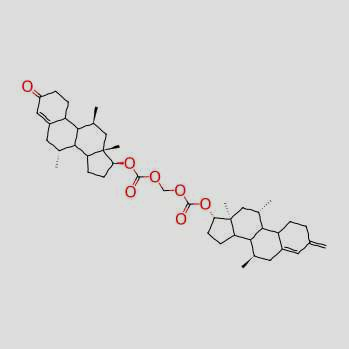 C=C1C=C2C[C@@H](C)C3C(C2CC1)[C@@H](C)C[C@@]1(C)C3CC[C@@H]1OC(=O)OCOC(=O)O[C@H]1CCC2C3C(C4CCC(=O)C=C4C[C@H]3C)[C@@H](C)C[C@@]21C